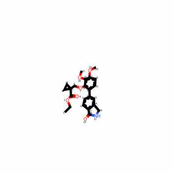 CCOC(=O)C1(COc2c(-c3ccc4c(c3)CNC4=O)ccc(OC)c2OC)CC1